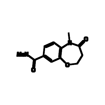 CNC(=O)c1ccc2c(c1)OCCC(=O)N2C